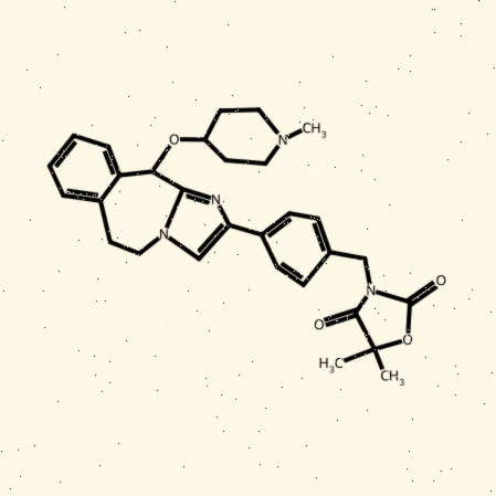 CN1CCC(OC2c3ccccc3CCn3cc(-c4ccc(CN5C(=O)OC(C)(C)C5=O)cc4)nc32)CC1